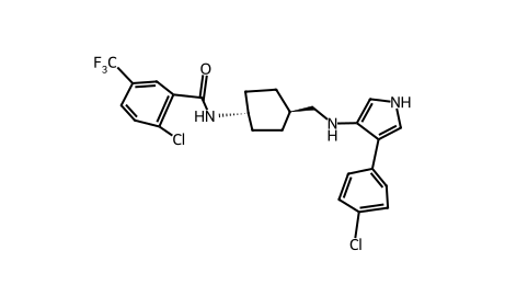 O=C(N[C@H]1CC[C@H](CNc2c[nH]cc2-c2ccc(Cl)cc2)CC1)c1cc(C(F)(F)F)ccc1Cl